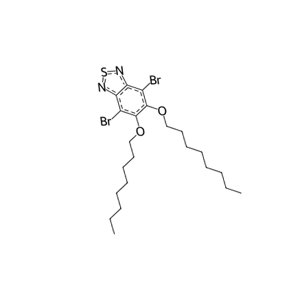 CCCCCCCCOc1c(OCCCCCCCC)c(Br)c2nsnc2c1Br